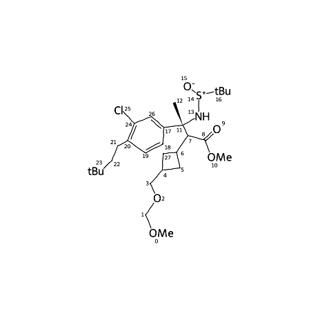 COCOCC1CC(C(C(=O)OC)[C@@](C)(N[S+]([O-])C(C)(C)C)c2ccc(CCC(C)(C)C)c(Cl)c2)C1